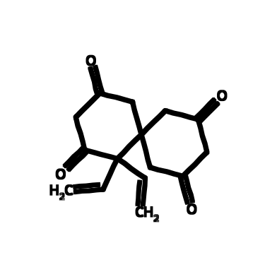 C=CC1(C=C)C(=O)CC(=O)CC12CC(=O)CC(=O)C2